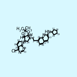 CC1(C)O[C@@H]2[C@@H](CCc3ccc4ccc(NC5CCCC5)nc4c3)C[C@@H](n3ccc4c(Cl)ncnc43)[C@@H]2O1